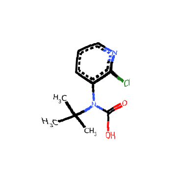 CC(C)(C)N(C(=O)O)c1cccnc1Cl